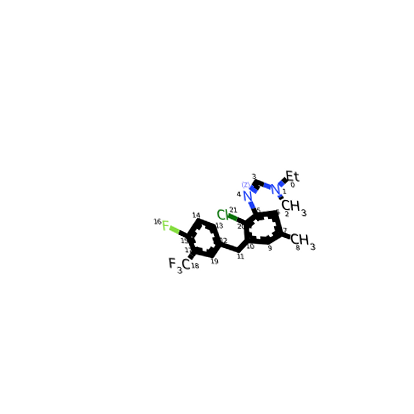 CCN(C)/C=N\c1cc(C)cc(Cc2ccc(F)c(C(F)(F)F)c2)c1Cl